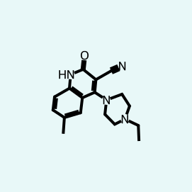 CCN1CCN(c2c(C#N)c(=O)[nH]c3ccc(C)cc23)CC1